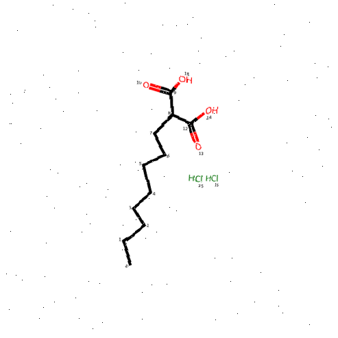 CCCCCCCCC(C(=O)O)C(=O)O.Cl.Cl